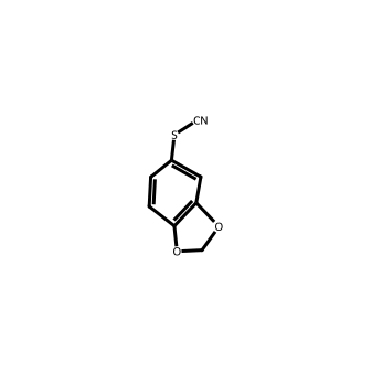 N#CSc1ccc2c(c1)OCO2